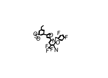 CCc1cc(-c2coc(-c3cc(C(F)(F)F)c(C#N)c(=O)n3Cc3ccc(F)cc3F)c2)cc(S(C)(=O)=O)c1